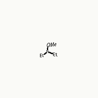 CCN(CC)OC